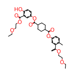 C=C(OCCOCC)c1cc(OC(=O)C2CCC(C(=O)Oc3ccc(O)c(C(=O)OCCOCC)c3)CC2)ccc1C